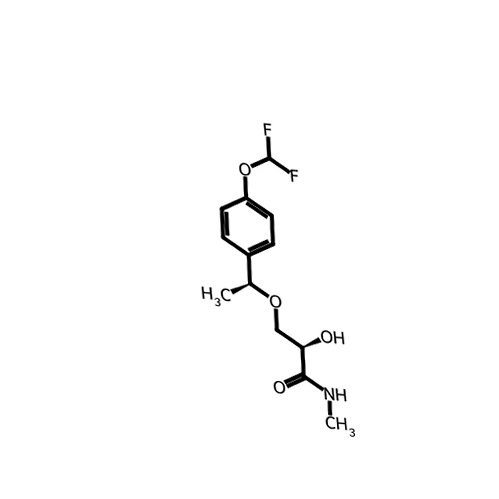 CNC(=O)[C@H](O)CO[C@@H](C)c1ccc(OC(F)F)cc1